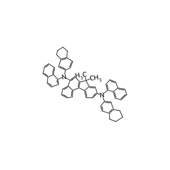 CC1(C)c2cc(N(c3ccc4c(c3)CCCC4)c3cccc4ccccc34)ccc2-c2c1cc(N(c1ccc3c(c1)CCCC3)c1cccc3ccccc13)c1ccccc21